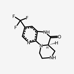 O=C1Nc2cc(C(F)(F)F)cnc2N2CCNC[C@H]12